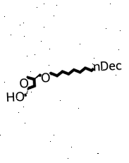 CCCCCCCCCCCCCCCCCCOC[C@@H]1CO[C@@H](CO)C1